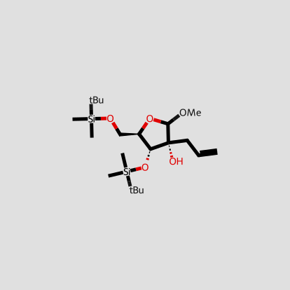 C=CC[C@]1(O)C(OC)O[C@H](CO[Si](C)(C)C(C)(C)C)[C@H]1O[Si](C)(C)C(C)(C)C